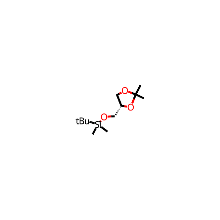 CC1(C)OC[C@@H](CO[Si](C)(C)C(C)(C)C)O1